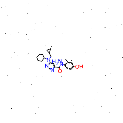 Cc1cc(O)ccc1N(N)C(=O)c1cc(N(CC2CC2)C2CCCCC2)ncn1